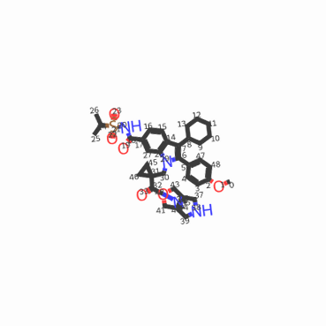 COc1ccc(-c2c(C3CCCCC3)c3ccc(C(=O)NS(=O)(=O)C(C)C)cc3n2CC2(C(=O)N3CC45CNCC4(COC5)C3)CC2)cc1